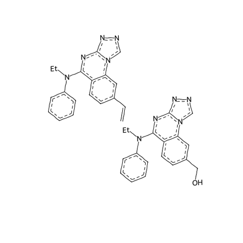 C=Cc1ccc2c(N(CC)c3ccccc3)nc3nncn3c2c1.CCN(c1ccccc1)c1nc2nncn2c2cc(CO)ccc12